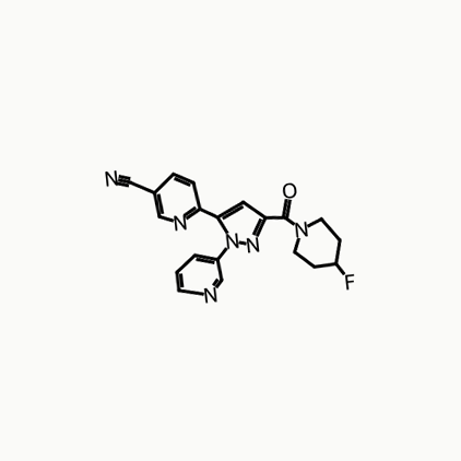 N#Cc1ccc(-c2cc(C(=O)N3CCC(F)CC3)nn2-c2cccnc2)nc1